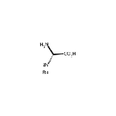 CC(C)[C@H](N)C(=O)O.[Ru]